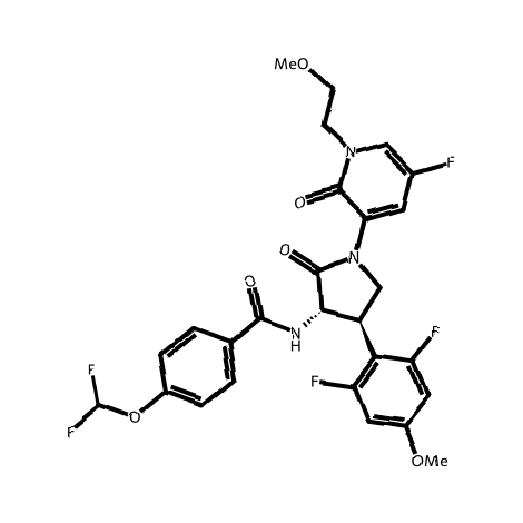 COCCn1cc(F)cc(N2C[C@@H](c3c(F)cc(OC)cc3F)[C@H](NC(=O)c3ccc(OC(F)F)cc3)C2=O)c1=O